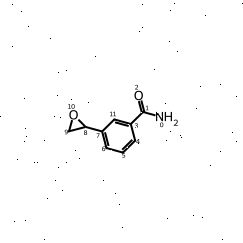 NC(=O)c1cccc(C2CO2)c1